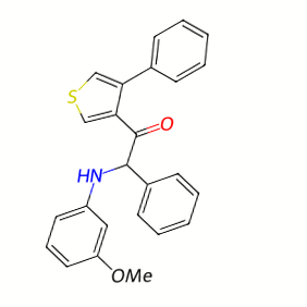 COc1cccc(NC(C(=O)c2cscc2-c2ccccc2)c2ccccc2)c1